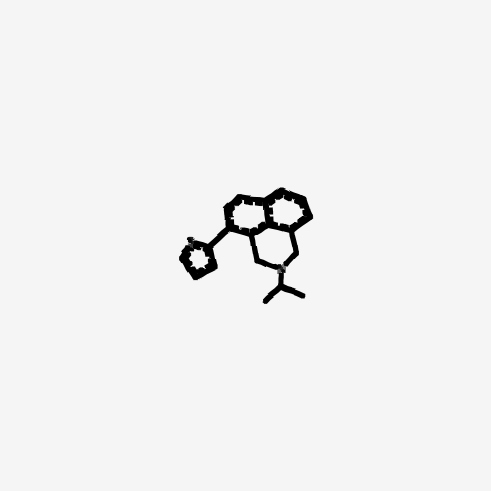 CC(C)N1Cc2cccc3ccc(-c4cccs4)c(c23)C1